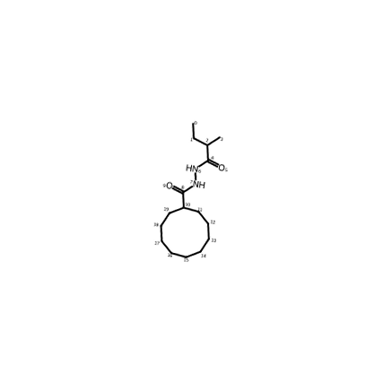 CCC(C)C(=O)NNC(=O)C1CCCCCCCCC1